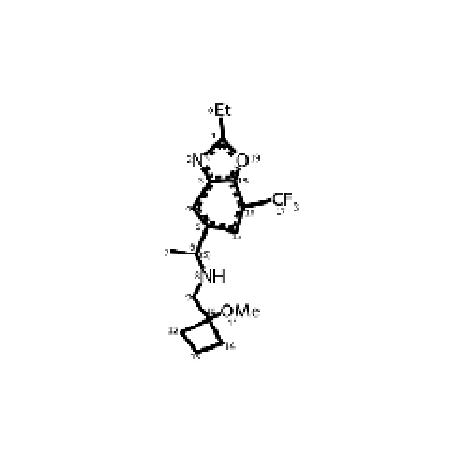 CCc1nc2cc([C@H](C)NCC3(OC)CCC3)cc(C(F)(F)F)c2o1